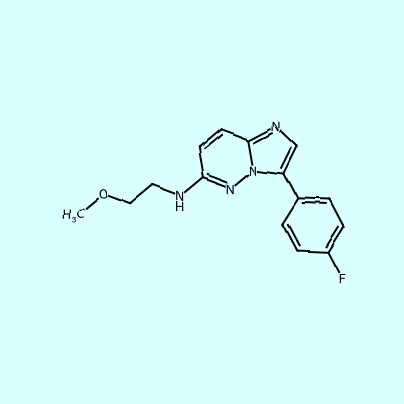 COCCNc1ccc2ncc(-c3ccc(F)cc3)n2n1